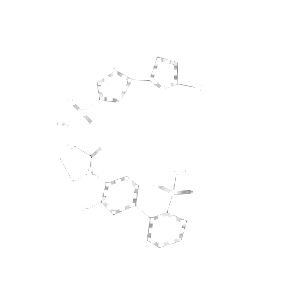 CS(=O)(=O)c1ccccc1-c1ccc(N2CC[C@H](NS(=O)(=O)c3cnc(-c4ccc(Cl)s4)s3)C2=O)c(F)c1